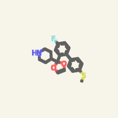 CSc1ccc(-c2ccc(F)cc2C2(C3CCNCC3)OC=CO2)cc1